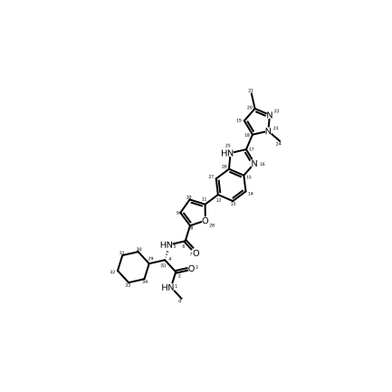 CNC(=O)[C@@H](NC(=O)c1ccc(-c2ccc3nc(-c4cc(C)nn4C)[nH]c3c2)o1)C1CCCCC1